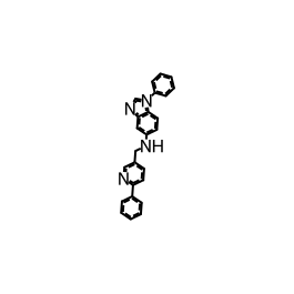 c1ccc(-c2ccc(CNc3ccc4c(c3)ncn4-c3ccccc3)cn2)cc1